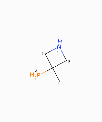 CC1(P)CNC1